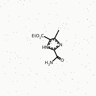 CCOC(=O)c1[nH]c(C(N)=O)nc1C